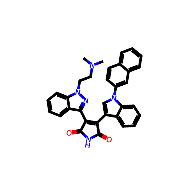 CN(C)CCn1nc(C2=C(c3cn(-c4ccc5ccccc5c4)c4ccccc34)C(=O)NC2=O)c2ccccc21